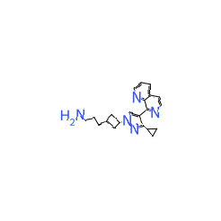 NCCC[C@H]1C[C@H](n2cc(-c3nccc4cccnc34)c(C3CC3)n2)C1